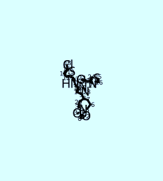 CS(=O)(=O)N1CCCC(c2cc(NCc3ccc(Cl)s3)n(C(=O)c3cscn3)n2)CC1